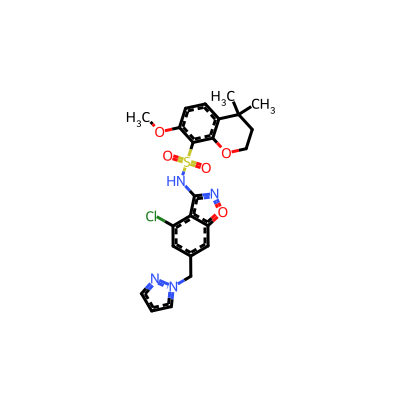 COc1ccc2c(c1S(=O)(=O)Nc1noc3cc(Cn4cccn4)cc(Cl)c13)OCCC2(C)C